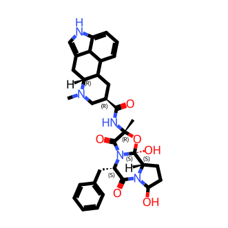 CN1C[C@H](C(=O)N[C@]2(C)O[C@@]3(O)[C@@H]4CCC(O)N4C(=O)[C@H](Cc4ccccc4)N3C2=O)CC2C3C=CC=C4NC=C(C[C@H]21)C43